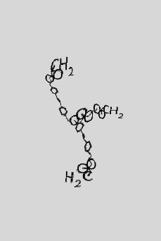 C=CC(=O)OCCOC(=O)c1cc(C#Cc2ccc(CCOC(=O)C=C)cc2)ccc1OCc1ccc(C#Cc2ccc(CCOC(=O)C=C)cc2)cc1